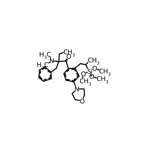 CCC(Cc1ccccc1)(C(=O)c1ccc(N2CCOCC2)cc1CC(C)[Si](OC)(OC)OC)N(C)C